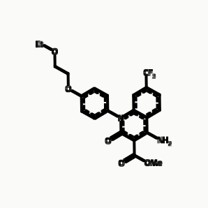 CCOCCOc1ccc(-n2c(=O)c(C(=O)OC)c(N)c3ccc(C(F)(F)F)cc32)cc1